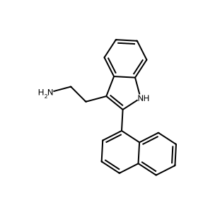 NCCc1c(-c2cccc3ccccc23)[nH]c2ccccc12